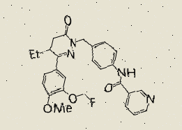 CCC1CC(=O)N(Cc2ccc(NC(=O)c3cccnc3)cc2)N=C1c1ccc(OC)c(OCF)c1